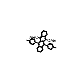 COc1c2ccccc2c(OC)c2c(-c3ccc(C)cc3)c3ccccc3c(-c3ccc(C)cc3)c12